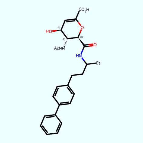 CCC(CCc1ccc(-c2ccccc2)cc1)NC(=O)[C@@H]1OC(C(=O)O)=C[C@H](O)[C@H]1NC(C)=O